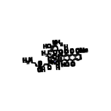 COc1cccc2c1C(=O)c1c(O)c3c(c(O)c1C2=O)C[C@@](O)(/C(C)=N/NC(=O)CCP(=O)(O)CCCN)C[C@@H]3OC1C[C@H](N)[C@H](O)[C@H](C)O1